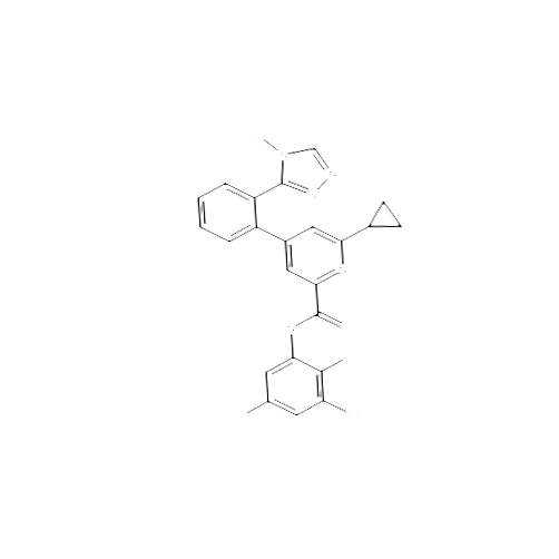 Cn1cnnc1-c1ccccc1-c1cc(C(=O)Nc2cc(C=O)cc(C(F)(F)F)c2O)nc(C2CC2)c1